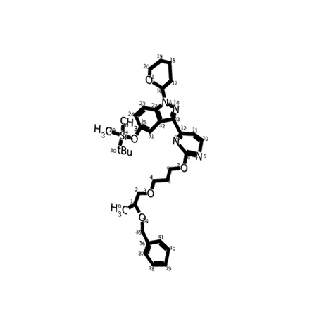 CC(COCCCOc1nccc(-c2nn(C3CCCCO3)c3ccc(O[Si](C)(C)C(C)(C)C)cc23)n1)OCc1ccccc1